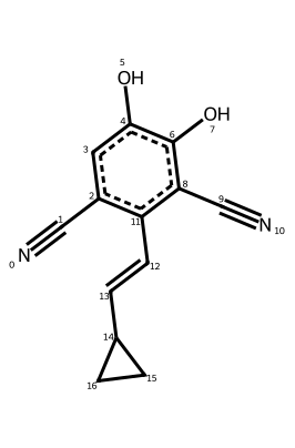 N#Cc1cc(O)c(O)c(C#N)c1C=CC1CC1